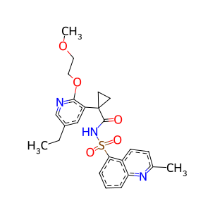 CCc1cnc(OCCOC)c(C2(C(=O)NS(=O)(=O)c3cccc4nc(C)ccc34)CC2)c1